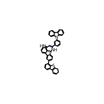 N=C/C=C(\Nn1c2ccccc2c2cc(-c3cccc4c5c(sc34)CCC=C5)ccc21)c1cccc(-n2c3ccccc3c3ccccc32)c1